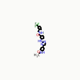 CC(=O)Nc1ccc(-c2ccnc(Nc3cccc(C(=O)NCc4cccc(C(F)(F)F)c4)c3)n2)cc1